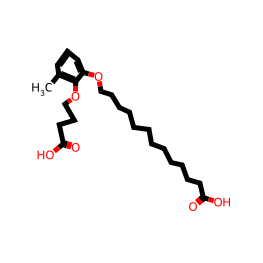 Cc1cccc(OCCCCCCCCCCCCC(=O)O)c1OCCCC(=O)O